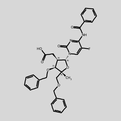 C[C@]1(COCc2ccccc2)O[C@@H](n2cc(F)c(NC(=O)c3ccccc3)nc2=O)[C@H](CC(=O)O)[C@@H]1OCc1ccccc1